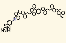 C=CC(=O)OC(C)COC(=O)CCC(=O)Oc1ccc(OC(=O)CCC(=O)OCC(C)OC(=O)/C=C/c2ccc3sc(NN)nc3c2)c(C=O)c1